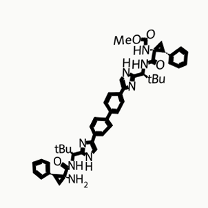 COC(=O)N[C@]1(C(=O)N[C@H](c2nc(-c3ccc(-c4ccc(-c5c[nH]c([C@@H](NC(=O)[C@@]6(N)C[C@@H]6c6ccccc6)C(C)(C)C)n5)cc4)cc3)c[nH]2)C(C)(C)C)C[C@@H]1c1ccccc1